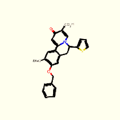 COc1cc2c(cc1OCc1ccccc1)CC(c1cccs1)n1cc(C(=O)O)c(=O)cc1-2